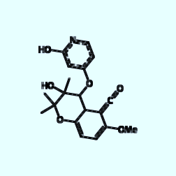 COC1=CC=C2OC(C)(C)C(C)(O)C(Oc3ccnc(O)c3)C2C1=C=O